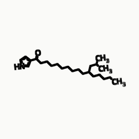 CCCCCC(CCCCCCCCCC(=O)c1cc[nH]c1)CC(C)C